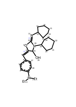 CCN(CC)c1ccc(/C=C2/O/C(=N/C3CCCCC3)N(C3CCCCC3)C2O)cc1